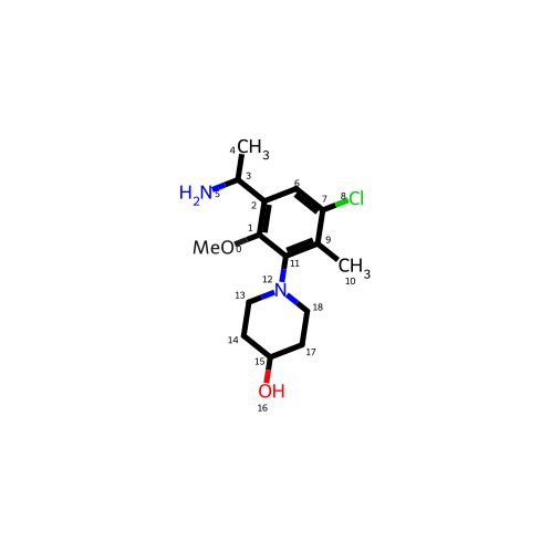 COc1c(C(C)N)cc(Cl)c(C)c1N1CCC(O)CC1